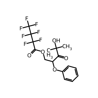 CC(C)(O)C(=O)C(COC(=O)C(F)(F)C(F)(F)C(F)(F)F)Oc1ccccc1